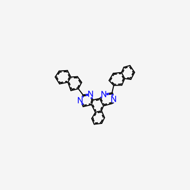 c1ccc2cc(-c3ncc4c5ccccc5c5cnc(-c6ccc7ccccc7c6)nc5c4n3)ccc2c1